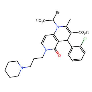 CCOC(=O)C1=C(C)N(C(CC)C(=O)O)c2ccn(CCCN3CCCCC3)c(=O)c2C1c1ccccc1Cl